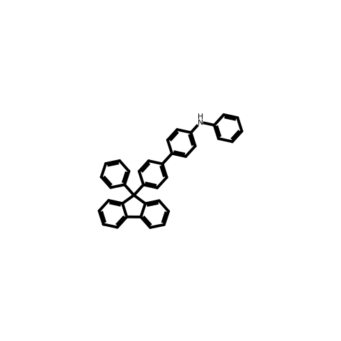 c1ccc(Nc2ccc(-c3ccc(C4(c5ccccc5)c5ccccc5-c5ccccc54)cc3)cc2)cc1